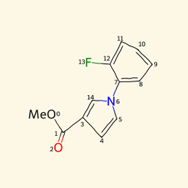 COC(=O)c1ccn(-c2ccccc2F)c1